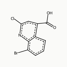 O=C(O)c1cc(Cl)nc2c(Br)cccc12